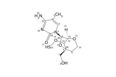 Cc1cn([C@@H]2O[C@@]3(CO)CCO[C@H]2C3OS)c(=O)nc1N